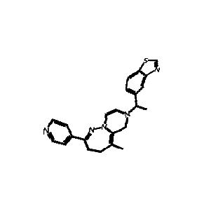 CC1=C2CN(C(C)c3ccc4scnc4c3)CCN2N=C(c2ccncc2)CC1